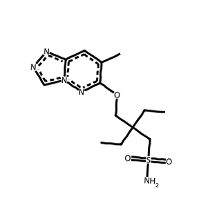 CCC(CC)(COc1nn2cnnc2cc1C)CS(N)(=O)=O